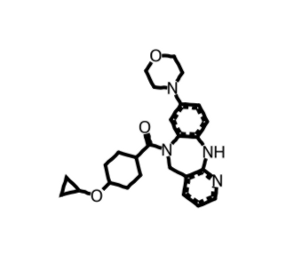 O=C(C1CCC(OC2CC2)CC1)N1Cc2cccnc2Nc2ccc(N3CCOCC3)cc21